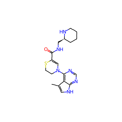 Cc1c[nH]c2ncnc(N3C=C(C(=O)NC[C@@H]4CCCCN4)SCC3)c12